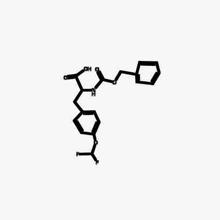 O=C(NC(Cc1ccc(OC(F)F)cc1)C(=O)O)OCc1ccccc1